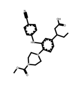 CCC(CC(=O)O)c1ccc(N2CCN(C(=O)OC)CC2)c(Nc2ccc(C#N)cc2)c1